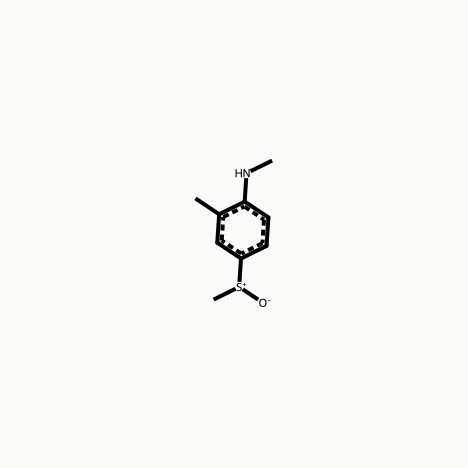 CNc1ccc([S+](C)[O-])cc1C